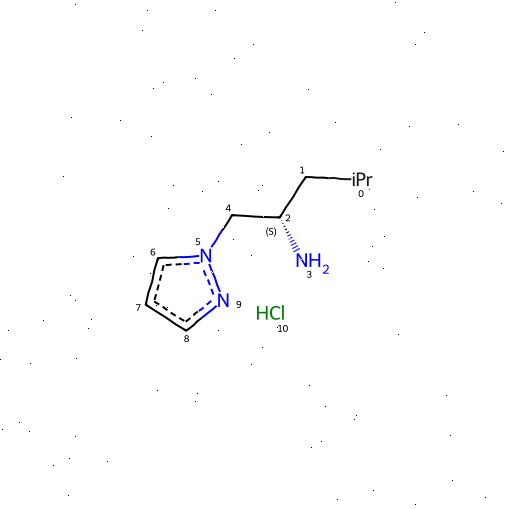 CC(C)C[C@H](N)Cn1cccn1.Cl